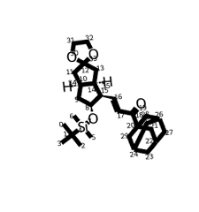 CC(C)(C)[Si](C)(C)O[C@@H]1C[C@H]2CC3(C[C@H]2[C@H]1/C=C/C(=O)C12CC4CC(CC(C4)C1)C2)OCCO3